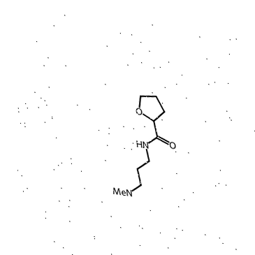 CNCCCNC(=O)C1CCCO1